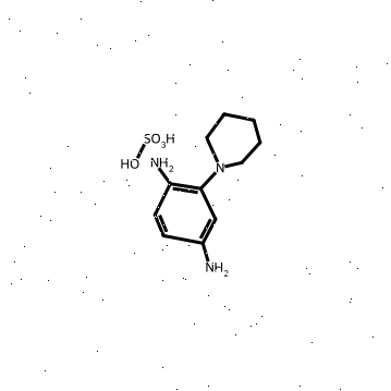 Nc1ccc(N)c(N2CCCCC2)c1.O=S(=O)(O)O